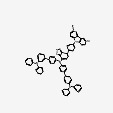 Fc1ccc2c(c1)c1cc(F)ccc1n2-c1ccc(-c2ccc(N(c3ccc(-c4ccc(N(c5ccccc5)c5ccccc5)cc4)cc3)c3ccc(-c4cccc(N(c5ccccc5)c5ccccc5)c4)cc3)c3nsnc23)cc1